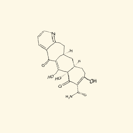 NC(=O)C1=C(O)C[C@@H]2C[C@@H]3Cc4ncccc4C(=O)C3=C(O)[C@]2(O)C1=O